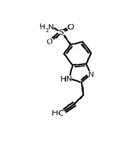 C#CCc1nc2ccc(S(N)(=O)=O)cc2[nH]1